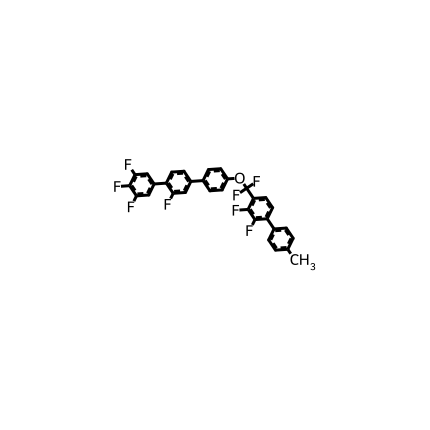 Cc1ccc(-c2ccc(C(F)(F)Oc3ccc(-c4ccc(-c5cc(F)c(F)c(F)c5)c(F)c4)cc3)c(F)c2F)cc1